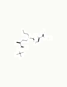 C=C(CCN(CCC)c1ncc(C(=O)O)o1)C(=O)OC(C)(C)C